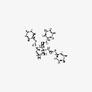 N=C[C@H](OCc1ccccc1)[C@@H](OCc1ccccc1)[C@@H](O)COCc1ccccc1